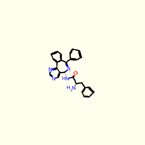 N[C@@H](Cc1ccccc1)C(=O)N[C@H]1N=C(c2ccccc2)c2ccccc2-c2ncncc21